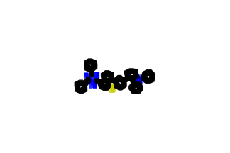 c1ccc(-c2nc(-c3ccccc3)nc(-c3ccc4c5c(cccc35)-c3cc(-c5cccc6c5c5ccccc5n6-c5ccccc5)ccc3S4)n2)cc1